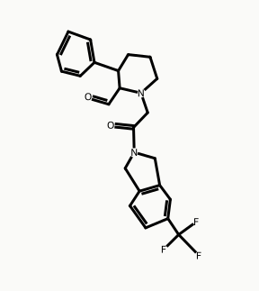 O=CC1C(c2ccccc2)CCCN1CC(=O)N1Cc2ccc(C(F)(F)F)cc2C1